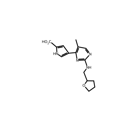 Cc1cnc(NCC2CCCO2)nc1-c1c[nH]c(C(=O)O)c1